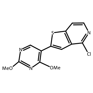 COc1ncc(-c2cc3c(Cl)nccc3s2)c(OC)n1